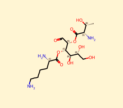 C[C@@H](O)[C@H](N)C(=O)O[C@@H](C=O)[C@@H](OC(=O)[C@@H](N)CCCCN)[C@H](O)[C@H](O)CO